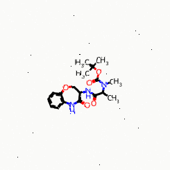 CC(C(=O)NC1COc2ccccc2NC1=O)N(C)C(=O)OC(C)(C)C